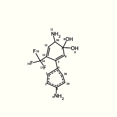 Nc1ccc(C2=CC(O)(O)C(N)C=C2C(F)(F)F)cc1